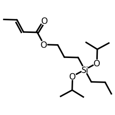 CC=CC(=O)OCCC[Si](CCC)(OC(C)C)OC(C)C